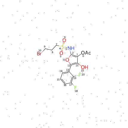 CC(=O)Oc1c(NS(=O)(=O)CCCBr)oc(-c2cccc(F)c2F)c1O